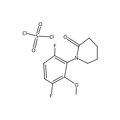 COc1c(F)ccc(F)c1N1CCCCC1=O.O=S(=O)(Cl)Cl